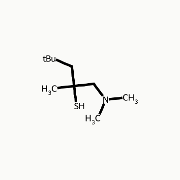 CN(C)CC(C)(S)CC(C)(C)C